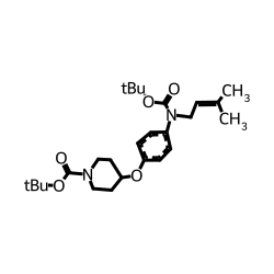 CC(C)=CCN(C(=O)OC(C)(C)C)c1ccc(OC2CCN(C(=O)OC(C)(C)C)CC2)cc1